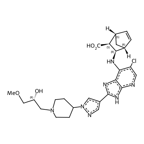 COC[C@H](O)CN1CCC(n2cc(-c3nc4c(N[C@H]5[C@@H](C(=O)O)[C@@H]6C=C[C@H]5C6)c(Cl)cnc4[nH]3)cn2)CC1